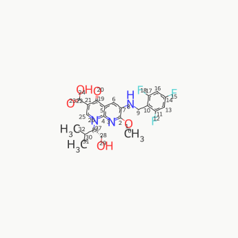 COc1nc2c(cc1NCc1c(F)cc(F)cc1F)c(=O)c(C(=O)O)cn2[C@H](CO)C(C)C